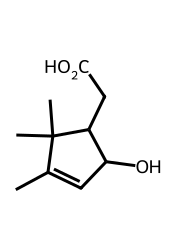 CC1=CC(O)C(CC(=O)O)C1(C)C